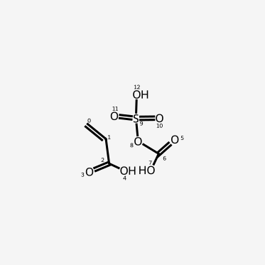 C=CC(=O)O.O=C(O)OS(=O)(=O)O